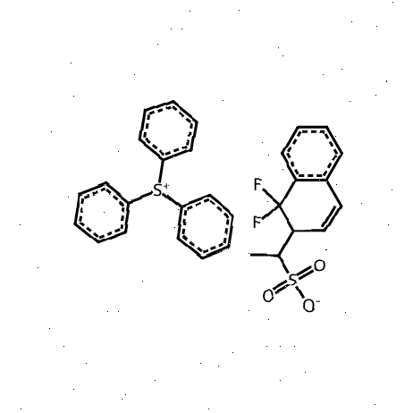 CC(C1C=Cc2ccccc2C1(F)F)S(=O)(=O)[O-].c1ccc([S+](c2ccccc2)c2ccccc2)cc1